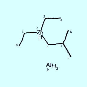 C[CH2][ZnH]([CH2]C)[CH2]C(C)C.[AlH3]